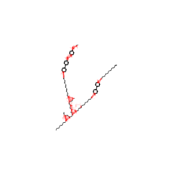 C=CCCCCCCCCCOc1ccc(-c2ccc(OCCCCCCCCCCC3OC(CC(O)CC4CC(C)OC(CCCCCCCCCCOc5ccc(-c6ccc(C(=O)Oc7ccc(C(=O)OCC)cc7)cc6)cc5)O4)CC(CC4CC(CC)OC(CCCCCCC)O4)O3)cc2)cc1